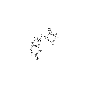 Fc1ccc(/[C]=N\OCc2ccccc2Cl)cc1